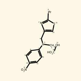 CC(C)c1nc(CN(C)c2ccc([N+](=O)[O-])cc2)cs1.O=C(O)O